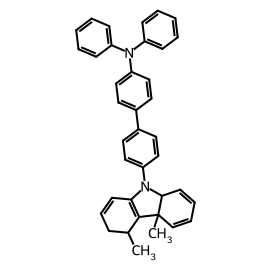 CC1CC=CC2=C1C1(C)C=CC=CC1N2c1ccc(-c2ccc(N(c3ccccc3)c3ccccc3)cc2)cc1